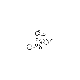 O=C(c1cccs1)C1C(=O)N(C(=O)OCc2ccccc2)c2ccc(Cl)cc21